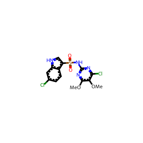 COc1nc(NS(=O)(=O)c2c[nH]c3cc(Cl)ccc23)nc(Cl)c1OC